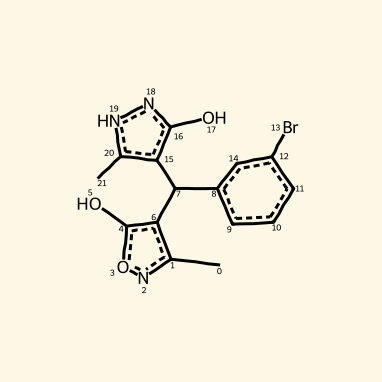 Cc1noc(O)c1C(c1cccc(Br)c1)c1c(O)n[nH]c1C